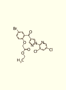 CCOC(=O)COc1ccc(Br)cc1C(=O)c1cnn(-c2ncc(Cl)cc2Cl)c1